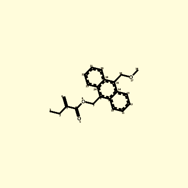 C=C(CC)C(=O)OCc1c2ccccc2c(COC)c2ccccc12